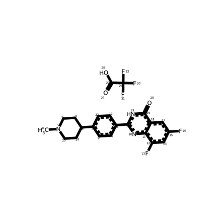 CN1CCC(c2ccc(-c3nc4c(F)cc(F)cc4c(=O)[nH]3)cc2)CC1.O=C(O)C(F)(F)F